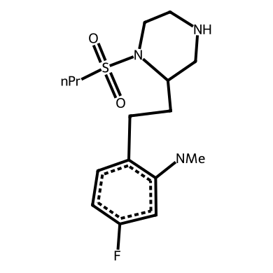 CCCS(=O)(=O)N1CCNCC1CCc1ccc(F)cc1NC